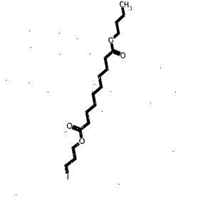 CCCCOC(=O)CCCCCCCCC(=O)OCCCI